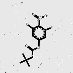 CC(C)(C)CC(=O)Oc1cc(F)c([N+](=O)[O-])c(F)c1